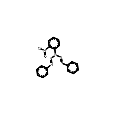 O=[N+]([O-])c1ccccc1N(N=Nc1ccccc1)N=Nc1ccccc1